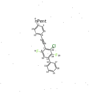 CCCCCc1ccc(C#Cc2c(F)cc(-c3ccccc3)c(F)c2Cl)cc1